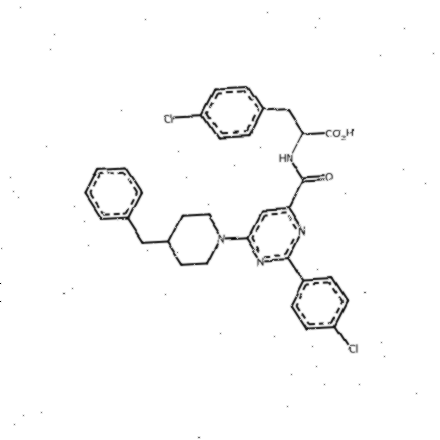 O=C(NC(Cc1ccc(Cl)cc1)C(=O)O)c1cc(N2CCC(Cc3ccccc3)CC2)nc(-c2ccc(Cl)cc2)n1